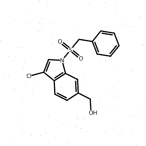 O=S(=O)(Cc1ccccc1)n1cc(Cl)c2ccc(CO)cc21